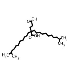 CC(C)CCCCCCCCCC(CCCCCCCCCC(C)C)(CCC(=O)O)C(=O)O